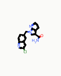 NC(=O)c1cn(Cc2ccc3ncc(Cl)cc3c2)c2ncccc12